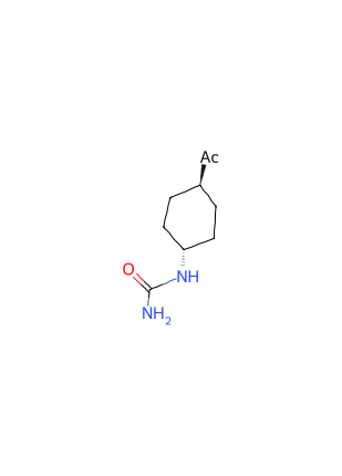 CC(=O)[C@H]1CC[C@H](NC(N)=O)CC1